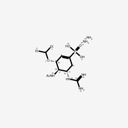 CCC(CC)O[C@@H]1C=C(P(=O)(O)O)C[C@H](NC(=N)N)[C@H]1NC(C)=O.N.N